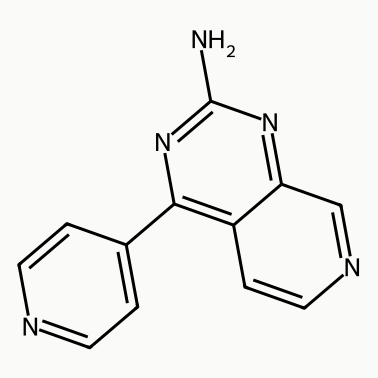 Nc1nc(-c2ccncc2)c2ccncc2n1